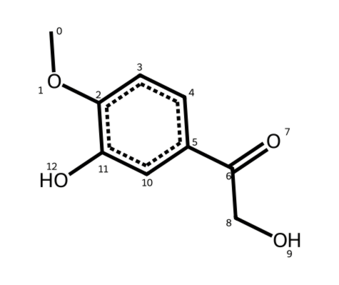 COc1ccc(C(=O)CO)cc1O